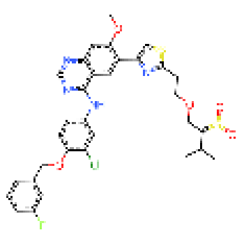 COc1cc2ncnc(Nc3ccc(OCc4cccc(F)c4)c(Cl)c3)c2cc1-c1csc(CCOCC(C(C)C)=S(=O)=O)n1